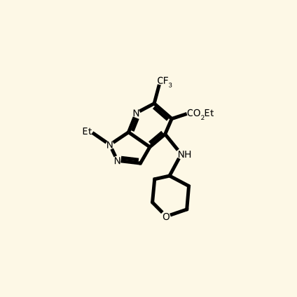 CCOC(=O)c1c(C(F)(F)F)nc2c(cnn2CC)c1NC1CCOCC1